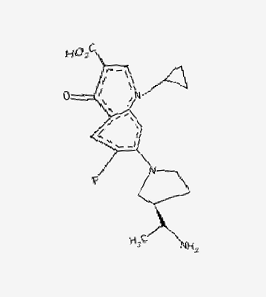 CC(N)[C@@H]1CCN(c2cc3c(cc2F)c(=O)c(C(=O)O)cn3C2CC2)C1